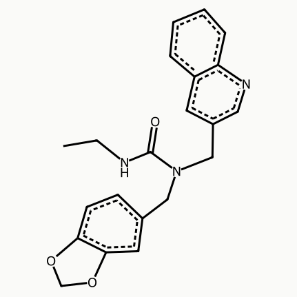 CCNC(=O)N(Cc1ccc2c(c1)OCO2)Cc1cnc2ccccc2c1